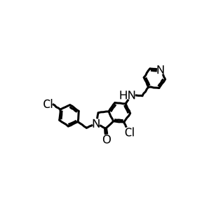 O=C1c2c(Cl)cc(NCc3ccncc3)cc2CN1Cc1ccc(Cl)cc1